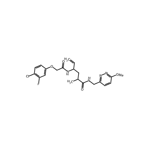 C=CC(CC(C)C(=O)NCc1ccc(OC)nn1)NC(=O)COc1ccc(Cl)c(F)c1